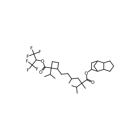 CC(CCC1CCC1(C(=O)OC(C(F)(F)F)C(F)(F)F)C(C)C)CC(C)(C(=O)OC1CC2CC1C1CCCC21)C(C)C